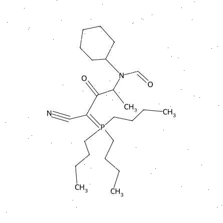 CCCCP(CCCC)(CCCC)=C(C#N)C(=O)C(C)N(C=O)C1CCCCC1